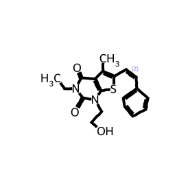 CCn1c(=O)c2c(C)c(/C=C\c3ccccc3)sc2n(CCO)c1=O